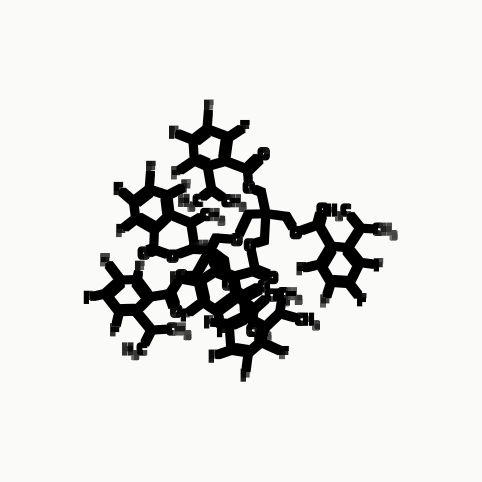 CC(C)c1c(F)c(F)c(F)c(F)c1C(=O)OCC(COCC(COC(=O)c1c(F)c(F)c(F)c(F)c1C(C)C)(COC(=O)c1c(F)c(F)c(F)c(F)c1C(C)C)COC(=O)c1c(F)c(F)c(F)c(F)c1C(C)C)(COC(=O)c1c(F)c(F)c(F)c(F)c1C(C)C)COC(=O)c1c(F)c(F)c(F)c(F)c1C(C)C